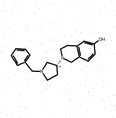 Oc1ccc2c(c1)CCN([C@@H]1CCN(Cc3ccccc3)C1)C2